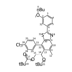 CCCCOc1cccc(-c2nc3cc(C)c([C@@H](COC(=O)C(C)(C)C)OC(C)(C)C)c(-c4ccc(Cl)cc4)c3s2)c1